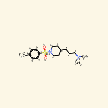 CCCN(C)CCCC1CCN(S(=O)(=O)c2ccc(C(F)(F)F)cc2)CC1